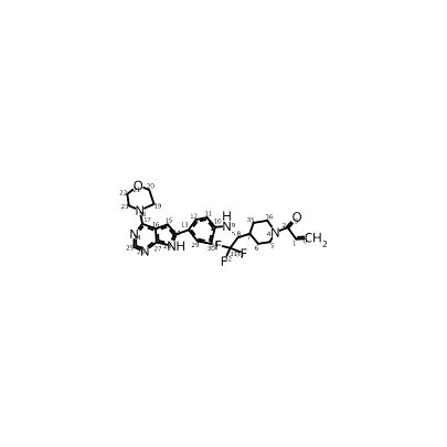 C=CC(=O)N1CCC([C@@H](Nc2ccc(-c3cc4c(N5CCOCC5)ncnc4[nH]3)cc2)C(F)(F)F)CC1